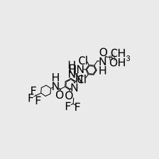 C[C@H](O)C(=O)NCc1ccc(Cl)c(Nc2nc3nc(OCC(F)F)c(C(=O)NC4CCC(C(F)(F)F)CC4)cc3[nH]2)c1Cl